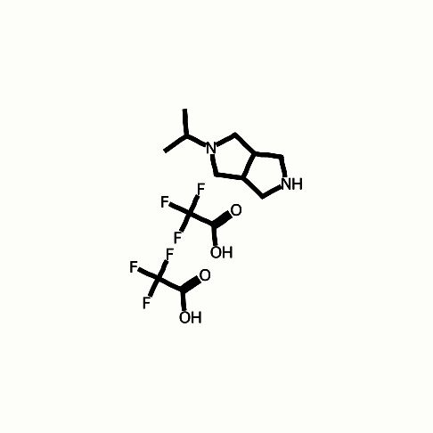 CC(C)N1CC2CNCC2C1.O=C(O)C(F)(F)F.O=C(O)C(F)(F)F